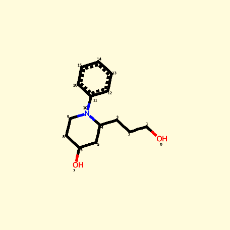 OCCCC1CC(O)CCN1c1ccccc1